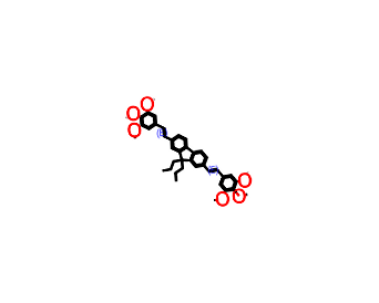 CCCC1(CCC)c2cc(/C=C/c3cc(OC)c(OC)c(OC)c3)ccc2-c2ccc(/C=C/c3cc(OC)c(OC)c(OC)c3)cc21